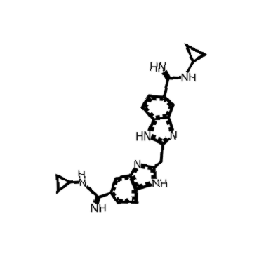 N=C(NC1CC1)c1ccc2[nH]c(Cc3nc4cc(C(=N)NC5CC5)ccc4[nH]3)nc2c1